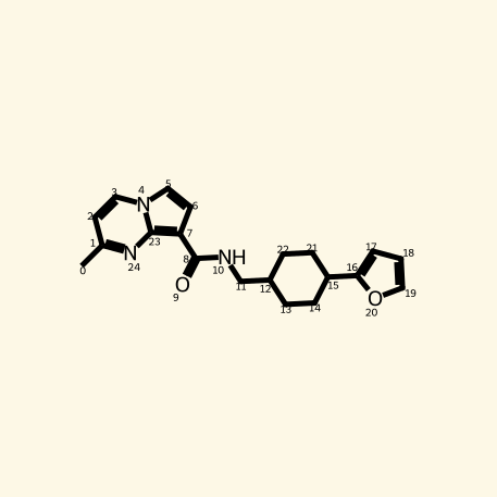 Cc1ccn2ccc(C(=O)NCC3CCC(c4ccco4)CC3)c2n1